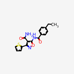 CCc1ccc(C(=O)Nc2onc(-c3cccs3)c2C(N)=O)cc1